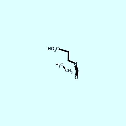 CC.O=C=NCCC(=O)O